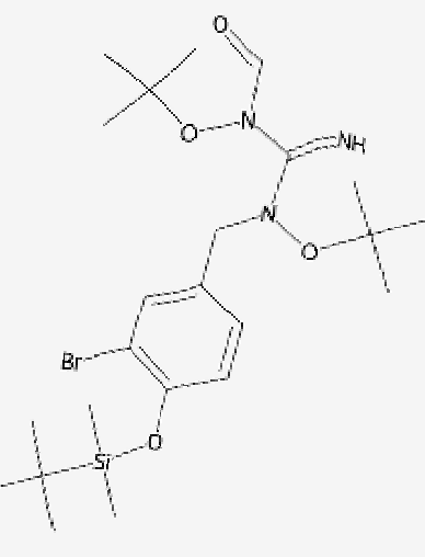 CC(C)(C)ON(C=O)C(=N)N(Cc1ccc(O[Si](C)(C)C(C)(C)C)c(Br)c1)OC(C)(C)C